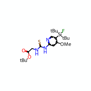 COc1cc(NC(=S)NCC(=O)OC(C)(C)C)ncc1[Si](F)(C(C)(C)C)C(C)(C)C